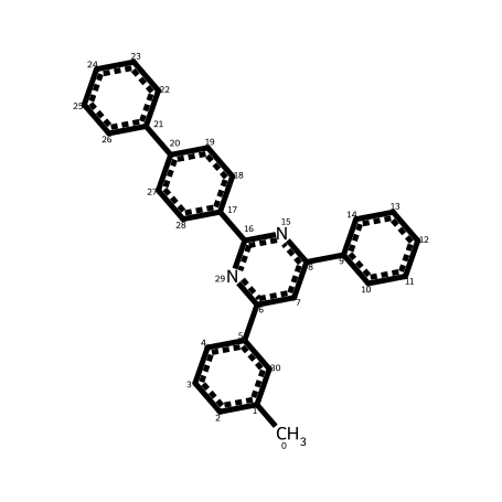 Cc1cccc(-c2cc(-c3ccccc3)nc(-c3ccc(-c4ccccc4)cc3)n2)c1